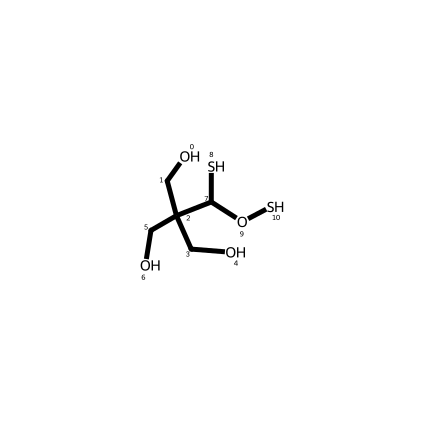 OCC(CO)(CO)C(S)OS